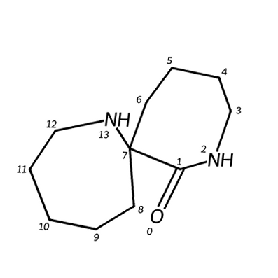 O=C1NCCCCC12CCCCCN2